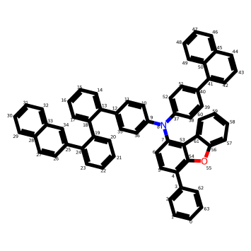 c1ccc(-c2ccc(N(c3ccc(-c4ccccc4-c4ccccc4-c4ccc5ccccc5c4)cc3)c3ccc(-c4cccc5ccccc45)cc3)c3c2oc2ccccc23)cc1